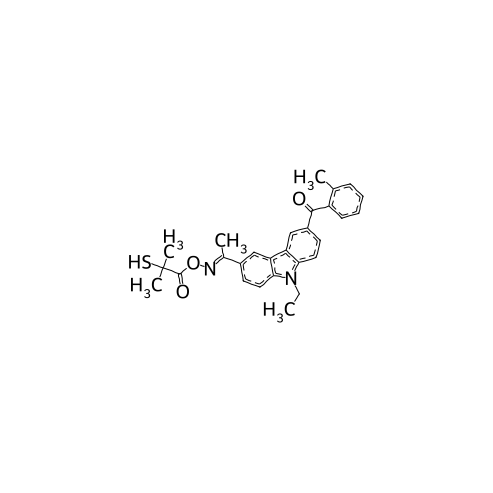 CCn1c2ccc(C(=O)c3ccccc3C)cc2c2cc(/C(C)=N/OC(=O)C(C)(C)S)ccc21